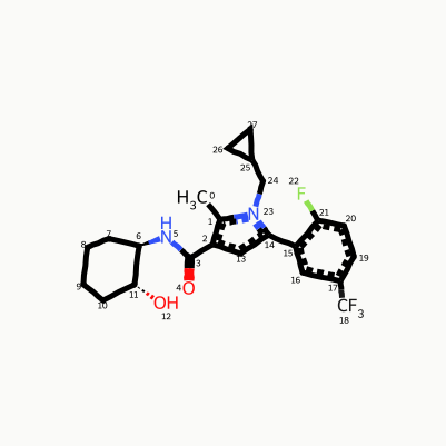 Cc1c(C(=O)N[C@@H]2CCCC[C@H]2O)cc(-c2cc(C(F)(F)F)ccc2F)n1CC1CC1